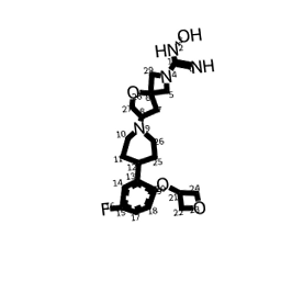 N=C(NO)N1CC2(CC(N3CCC(c4cc(F)ccc4OC4COC4)CC3)CO2)C1